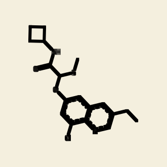 CCc1cnc2c(Cl)cc(OC(SC)C(=O)NC3CCC3)cc2c1